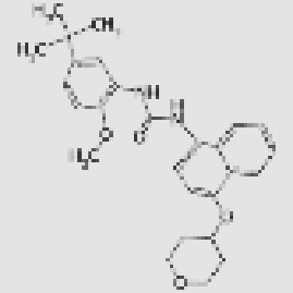 COc1ccc(C(C)(C)C)cc1NC(=O)Nc1ccc(OC2CCOCC2)c2ccccc12